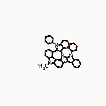 Cn1c2cccc3c2c2c1ccc1c4c5ccccc5n(-c5ccccc5)c4n(c12)c1c2ccccc2n(-c2ccccc2)c31